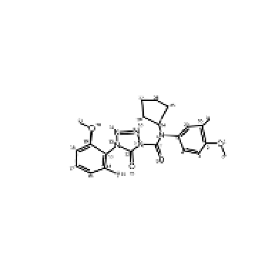 COc1ccc(N(C(=O)n2nnn(-c3c(F)cccc3OC)c2=O)C2CCCC2)cc1C